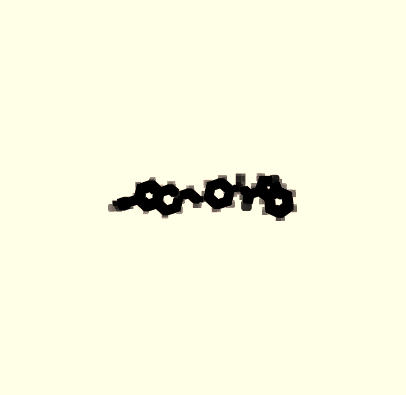 N#Cc1ccc2c(c1)CCN(CC[C@H]1CC[C@H](NC(=O)c3coc4ccccc34)CC1)C2